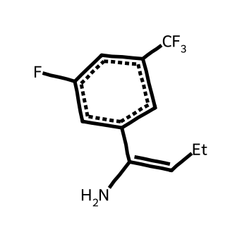 CC/C=C(/N)c1cc(F)cc(C(F)(F)F)c1